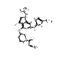 C=CC(=O)N1CCCC(Oc2nc(Nc3ncc(C)s3)cc3c2ccn3CC(C)C)C1